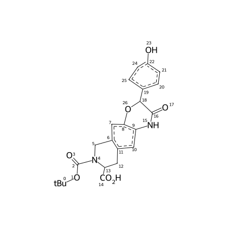 CC(C)(C)OC(=O)N1Cc2cc3c(cc2CC1C(=O)O)NC(=O)C(c1ccc(O)cc1)O3